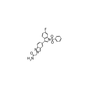 NC(=O)Cn1cc2cc(-c3cn(S(=O)(=O)c4ccccc4)c4cc(F)ccc34)ccc2n1